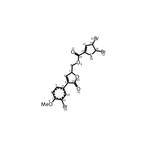 COc1ccc(C2=CC(COC(=O)C3=CC(Br)C(Br)S3)OC2=O)cc1Br